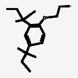 [CH2]CCOc1ccc(C(C)(C)CC)cc1C(C)(C)CC